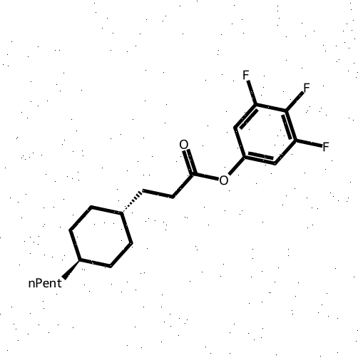 CCCCC[C@H]1CC[C@H](CCC(=O)Oc2cc(F)c(F)c(F)c2)CC1